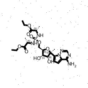 CCOC(=O)[C@H](C)NP(=O)(N[C@@H](C)C(=O)OCC)OC[C@H]1O[C@@](C)(c2ccc3c(N)ncnn23)[C@H](O)[C@@H]1O